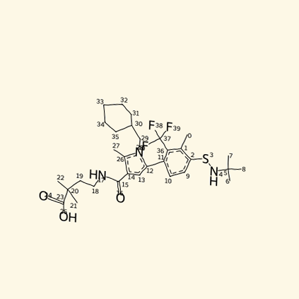 Cc1c(SNC(C)(C)C)ccc(-c2cc(C(=O)NCCC(C)(C)C(=O)O)c(C)n2CC2CCCCC2)c1C(F)(F)F